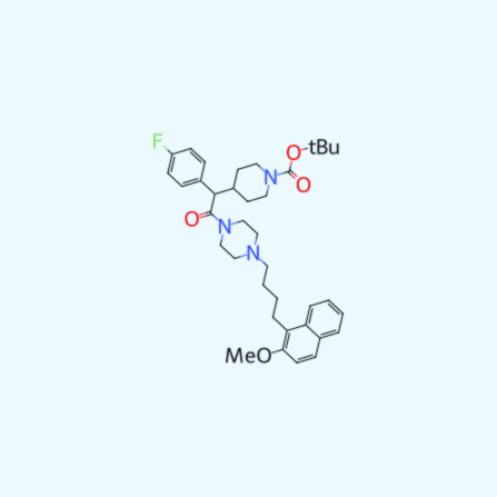 COc1ccc2ccccc2c1CCCCN1CCN(C(=O)C(c2ccc(F)cc2)C2CCN(C(=O)OC(C)(C)C)CC2)CC1